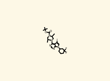 CC1CN(c2ncnc3c2c(I)cn3C2CCCC(F)(F)C2)C(C)CN1C(=O)OC(C)(C)C